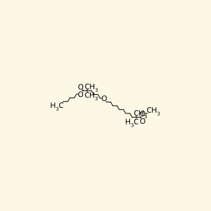 CCCCCCOC(=O)C(C)(C)CCCCOCCCCCCCCCC(C)(C)C(=O)OCC